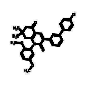 COc1ccc(OC)c(-n2c3c(cc(-c4cccc(-c5ccc(Cl)cc5)n4)c2=O)C(=O)CC(C)(C)C3)c1